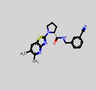 Cc1cc2sc(N3CCC[C@@H]3C(=O)NCc3cccc(C#N)c3)nc2nc1C